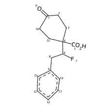 O=C1CCC(C(=O)O)(C(F)Cc2ccccc2)CC1